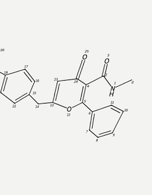 CNC(=O)c1c(-c2ccccc2)oc(Cc2ccc(OC)cc2)cc1=O